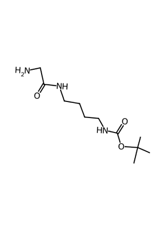 CC(C)(C)OC(=O)NCCCCNC(=O)CN